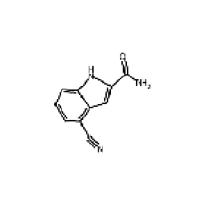 N#Cc1cccc2[nH]c(C(N)=O)cc12